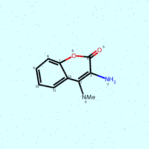 CNc1c(N)c(=O)oc2ccccc12